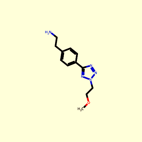 COCCn1nnc(-c2ccc(CCN)cc2)n1